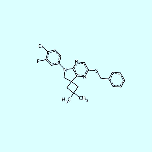 CC1(C)CC2(CN(c3ccc(Cl)c(F)c3)c3ncc(SCc4ccccc4)nc32)C1